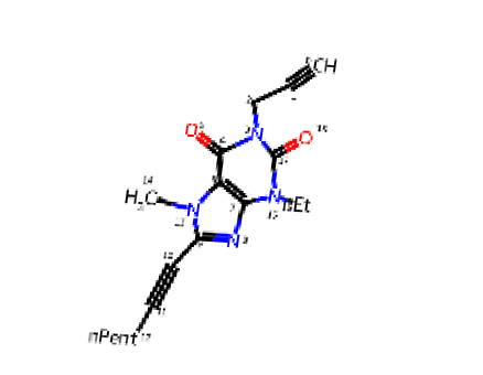 C#CCn1c(=O)c2c(nc(C#CCCCCC)n2C)n(CC)c1=O